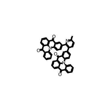 Cc1ccc(-c2ccc3c(c2)c(=O)c2cccc4c(=O)c5ccccc5n3c42)c(-c2ccc3c(c2)c(=O)c2cccc4c(=O)c5ccccc5n3c42)n1